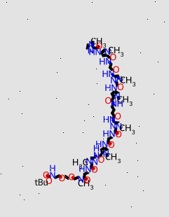 CN(CCOCCOCCNC(=O)OC(C)(C)C)C(=O)CCNC(=O)c1nc(NC(=O)c2cc(NC(=O)CCNC(=O)c3nc(NC(=O)CCCNC(=O)c4cc(NC(=O)c5nc(NC(=O)CCNC(=O)c6cc(NC(=O)c7nccn7C)cn6C)cn5C)cn4C)cn3C)cn2C)cn1C